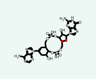 Nc1nc2c(ncn2C2C(O)C3OP(=O)(O)OCC4C5CC(C(O)C4OP(=O)(S)OCC34CCC24)C5n2cnc3c(N)ncnc32)c(=O)[nH]1